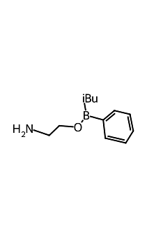 CCC(C)B(OCCN)c1ccccc1